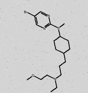 CCN(CCCC1CCC(N(C)c2ncc(Br)cn2)CC1)CCOC